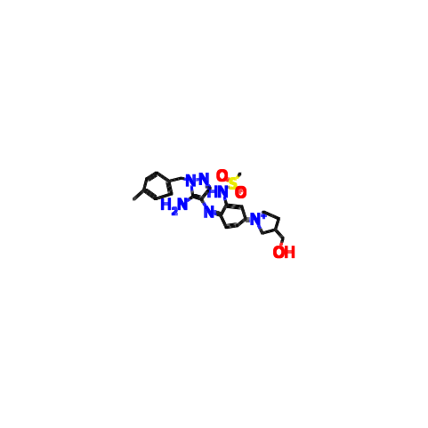 Cc1ccc(Cn2ncc(/N=C3C=C/C(=[N+]4/CCC(CO)C4)C=C/3NS(C)(=O)=O)c2N)cc1